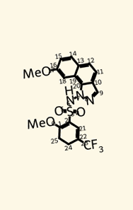 COC1=C(S(=O)(=O)Nn2ncc3ccc4ccc(OC)cc4c32)C=C(C(F)(F)F)CC1